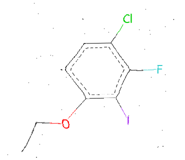 CCOc1[c]cc(Cl)c(F)c1I